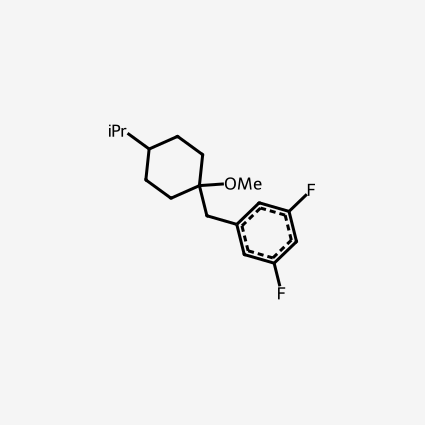 COC1(Cc2cc(F)cc(F)c2)CCC(C(C)C)CC1